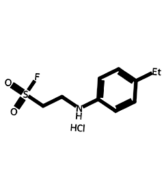 CCc1ccc(NCCS(=O)(=O)F)cc1.Cl